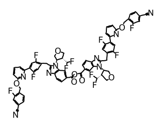 N#Cc1ccc(COc2cccc(-c3cc(F)c(Cc4nc5ccc(C(=O)OC(=O)c6ccc7nc(Cc8cc(F)c(-c9cccc(OCc%10ccc(C#N)cc%10F)n9)cc8F)n([C@H]8COC[C@@H]8C(F)F)c7c6)cc5n4[C@H]4COC[C@@H]4C(F)F)cc3F)n2)c(F)c1